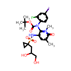 Cc1cc(NS(=O)(=O)C2(CC(O)CO)CC2)c(N(C(=O)OC(C)(C)C)c2ccc(I)cc2F)n(C)c1=O